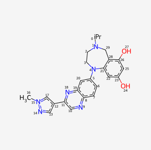 CC(C)N1CCN(c2ccc3ncc(-c4cnn(C)c4)nc3c2)c2cc(O)cc(O)c2C1